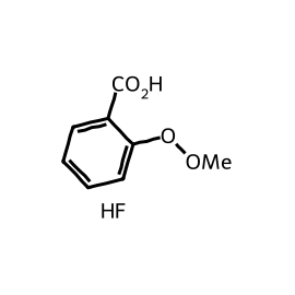 COOc1ccccc1C(=O)O.F